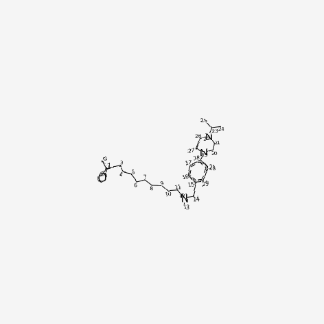 CC(=O)CCCCCCCCCN(C)Cc1ccc(N2CCN(C(C)C)CC2)cc1